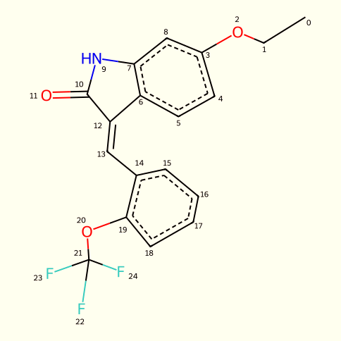 CCOc1ccc2c(c1)NC(=O)/C2=C/c1ccccc1OC(F)(F)F